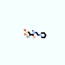 C[CH]C(C[SH](=O)=O)C(=O)N(C)CCN1CCCCC1